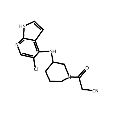 N#CCC(=O)N1CCCC(Nc2c(Cl)cnc3[nH]ccc23)C1